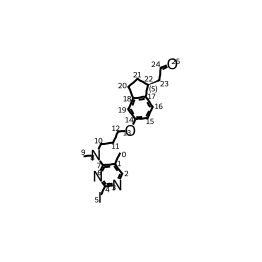 Cc1cnc(I)nc1N(C)CCCOc1ccc2c(c1)CC[C@H]2CC=O